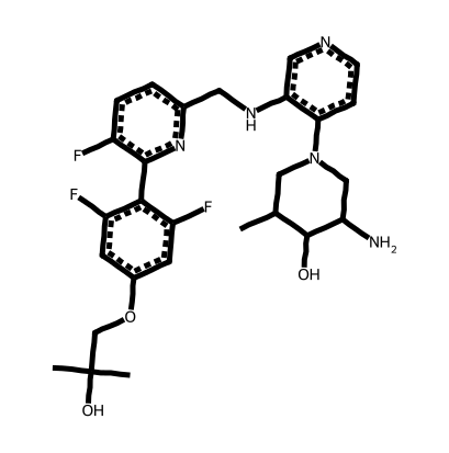 CC1CN(c2ccncc2NCc2ccc(F)c(-c3c(F)cc(OCC(C)(C)O)cc3F)n2)CC(N)C1O